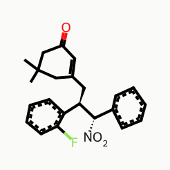 CC1(C)CC(=O)C=C(C[C@H](c2ccccc2F)[C@H](c2ccccc2)[N+](=O)[O-])C1